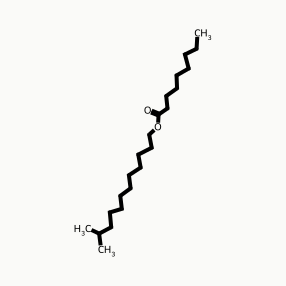 CCCCCCCCC(=O)OCCCCCCCCCCC(C)C